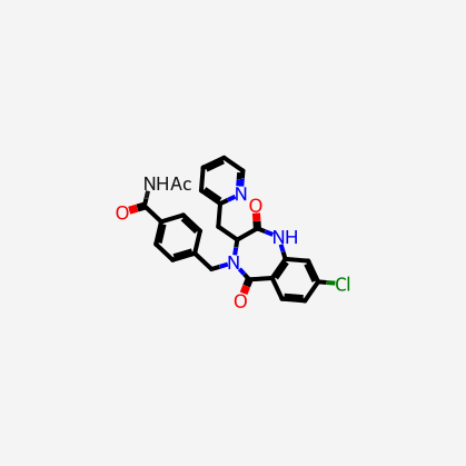 CC(=O)NC(=O)c1ccc(CN2C(=O)c3ccc(Cl)cc3NC(=O)C2Cc2ccccn2)cc1